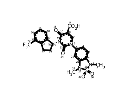 CN1c2ccc(-n3cc(C(=O)O)c(=O)n([C@@H]4CCc5c4cccc5C(F)(F)F)c3=O)cc2N(C)S1(=O)=O